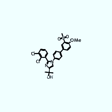 COc1ccc(-c2ccc(-n3cc(C(C)(C)O)nc3-c3cccc(Cl)c3Cl)cc2)cc1S(C)(=O)=O